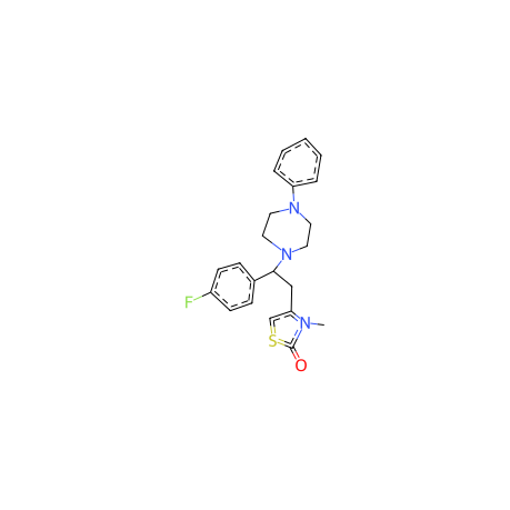 Cn1c(CC(c2ccc(F)cc2)N2CCN(c3ccccc3)CC2)csc1=O